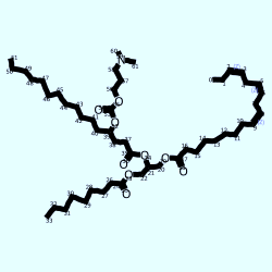 CC/C=C\C/C=C\C/C=C\CCCCCCCC(=O)OCC(COC(=O)CCCCCCCC)OC(=O)CCC(CCCCCCCCCCCC)OC(=O)OCCCN(C)C